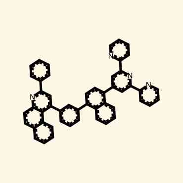 c1ccc(-c2cc(-c3cccc(-c4ccc(-c5cc(-c6ccccn6)nc(-c6ccccn6)c5)c5ccccc45)c3)c3c(ccc4ccccc43)n2)cc1